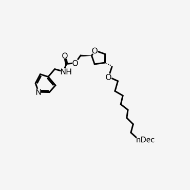 CCCCCCCCCCCCCCCCCCOC[C@H]1CO[C@H](COC(=O)NCc2ccncc2)C1